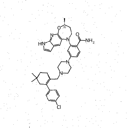 C[C@H]1CCN(c2cc(N3CCN(CC4=C(c5ccc(Cl)cc5)CC(C)(C)CC4)CC3)ccc2C(N)=O)c2cc3cc[nH]c3nc2O1